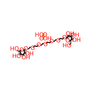 O=S(=O)(O)O.OC[C@H]1O[C@@H](OCCOCCOCCOCCOCCOCCO[C@@H]2O[C@H](CO)[C@@H](O)[C@H](O)[C@H]2O)[C@H](O)[C@@H](O)[C@@H]1O